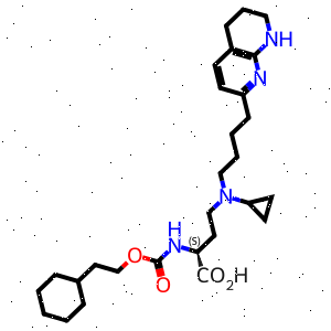 O=C(N[C@@H](CCN(CCCCc1ccc2c(n1)NCCC2)C1CC1)C(=O)O)OCCC1CCCCC1